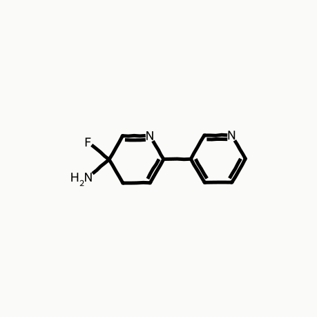 NC1(F)C=NC(c2cccnc2)=CC1